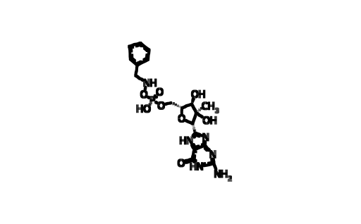 C[C@@]1(O)[C@H](O)[C@@H](COP(=O)(O)ONCc2ccccc2)O[C@H]1c1nc2nc(N)[nH]c(=O)c2[nH]1